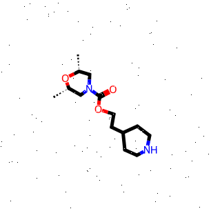 C[C@@H]1CN(C(=O)OCCC2CCNCC2)C[C@H](C)O1